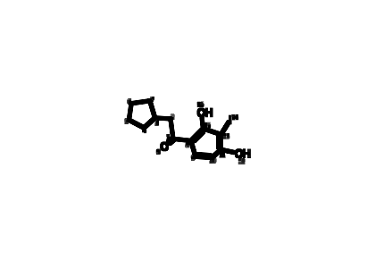 O=C(CC1CCCC1)c1ccc(O)c(I)c1O